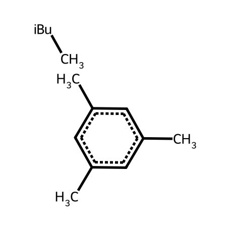 CCC(C)C.Cc1cc(C)cc(C)c1